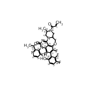 C=CC(=O)N1CC2COc3c(F)c(-c4c(O)ccc(F)c4F)c(F)c4c3c(nc(=O)n4-c3c(C)ccnc3C(C)C)N2CC1C